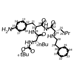 CCCC[C@H](NC(=O)OC(C)(C)C)C(=O)N[C@@H](Cc1ccc(N)cc1)C(=O)NC(=O)[C@H](CC(C)C)NCCc1ccccc1